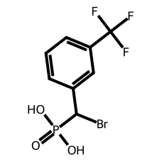 O=P(O)(O)C(Br)c1cccc(C(F)(F)F)c1